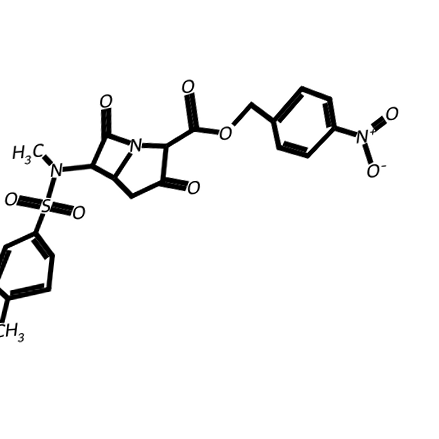 Cc1ccc(S(=O)(=O)N(C)C2C(=O)N3C(C(=O)OCc4ccc([N+](=O)[O-])cc4)C(=O)CC23)cc1